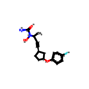 CC(C#C[C@@H]1CC[C@H](Oc2ccc(F)cc2)C1)N(O)C(N)=O